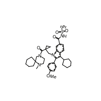 CCCS(=O)(=O)NC(=O)c1ccc2c(C3CCCCC3)c(-c3ccc(OC)cc3)n(CC3(C(=O)N4CCN(C)C5(CCCCC5)C4)CC3)c2c1